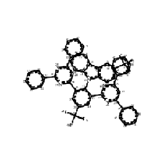 CC(C)(C)c1ccc2c(c1)c1ccccc1n2-c1c(-c2cc(-c3ccccc3)nc(-c3ccccc3)n2)cc(C(F)(F)F)cc1-c1nc(-c2ccccc2)cc(-c2ccccc2)n1